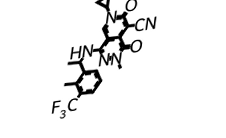 Cc1c(C(C)Nc2nn(C)c(=O)c3c(C#N)c(=O)n(C4CC4)cc23)cccc1C(F)(F)F